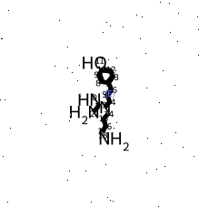 N=C(N)N(C/C=C/c1ccc(O)cc1)CCCCN